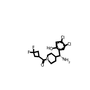 N[C@@H](c1cc(Cl)c(Cl)cc1O)C1CCN(C(=O)C2CC(F)(F)C2)CC1